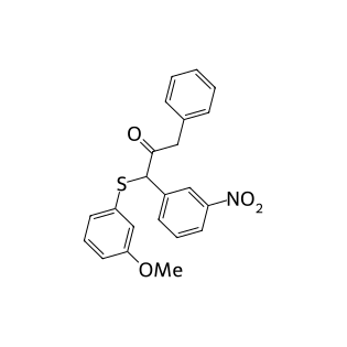 COc1cccc(SC(C(=O)Cc2ccccc2)c2cccc([N+](=O)[O-])c2)c1